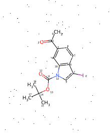 CC(=O)c1ccc2c(I)cn(C(=O)OC(C)(C)C)c2c1